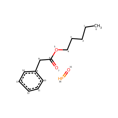 CCCCCOC(=O)Cc1ccccc1.O=P